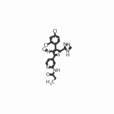 [C-]#[N+]c1c(-c2ccnc(NC(=O)CC)c2)sc(-c2nnc[nH]2)c1-c1ccc(Cl)cc1Cl